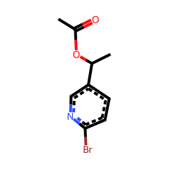 CC(=O)OC(C)c1ccc(Br)nc1